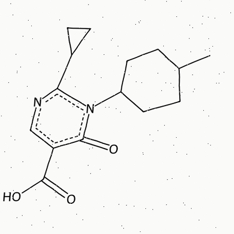 CC1CCC(n2c(C3CC3)ncc(C(=O)O)c2=O)CC1